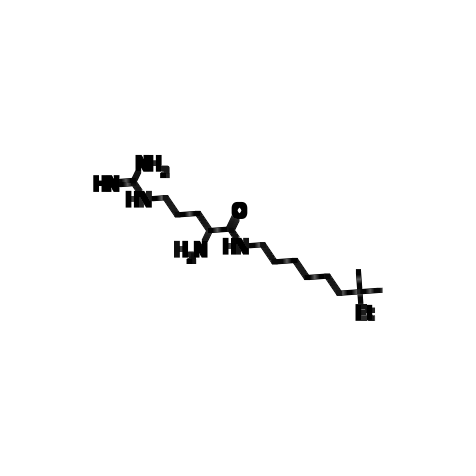 CCC(C)(C)CCCCCCNC(=O)C(N)CCCNC(=N)N